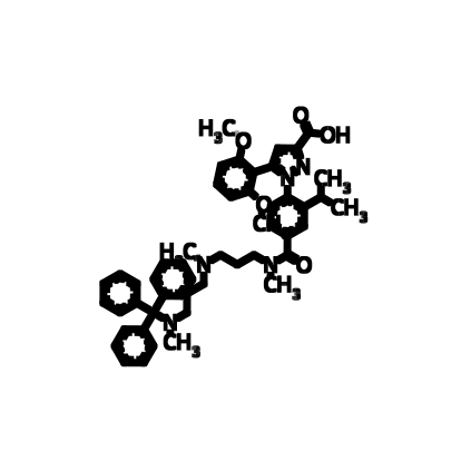 COc1cccc(OC)c1-c1cc(C(=O)O)nn1-c1ccc(C(=O)N(C)CCCN(C)CCCN(C)C(c2ccccc2)(c2ccccc2)c2ccccc2)cc1C(C)C